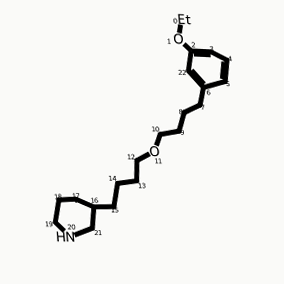 CCOc1cccc(CCCCOCCCCC2[CH]CCNC2)c1